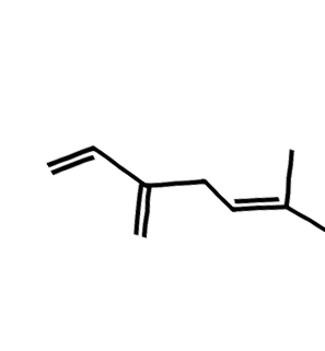 C=CC(=C)CC=C(C)C